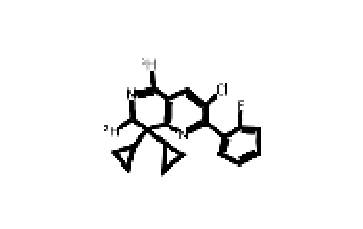 [2H]C1=NC([2H])C(C2CC2)(C2CC2)c2nc(-c3ccccc3F)c(Cl)cc21